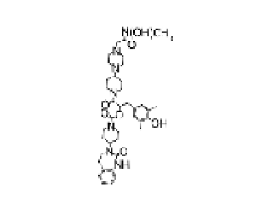 Cc1cc(C[C@@H](OC(=O)N2CCC(N3CCc4ccccc4NC3=O)CC2)C(=O)N2CCC(N3CCN(CC(=O)N(C)O)CC3)CC2)cc(C)c1O